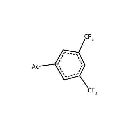 CC(=O)c1cc(C(F)(F)F)cc(C(F)(F)F)c1